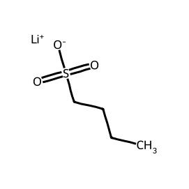 CCCCS(=O)(=O)[O-].[Li+]